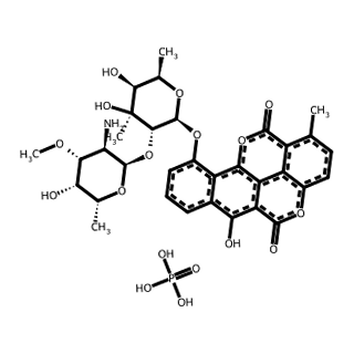 CO[C@@H]1[C@@H](N)[C@@H](O[C@H]2[C@H](Oc3cccc4c(O)c5c(=O)oc6ccc(C)c7c(=O)oc(c34)c5c67)O[C@H](C)[C@H](O)[C@]2(C)O)O[C@H](C)[C@@H]1O.O=P(O)(O)O